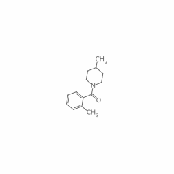 Cc1ccccc1C(=O)N1CCC(C)CC1